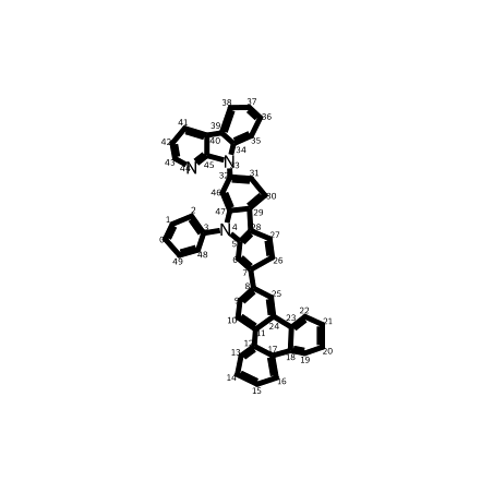 c1ccc(-n2c3cc(-c4ccc5c6ccccc6c6ccccc6c5c4)ccc3c3ccc(-n4c5ccccc5c5cccnc54)cc32)cc1